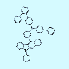 C1=CC(N(c2ccc(-c3ccccc3)cc2)c2cccc(-c3c4ccccc4cc4c3c3ccccc3n4-c3ccccc3)c2)CC=C1c1ccccc1-c1ccccc1